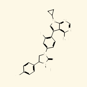 CN1C(=O)N(c2ccc(-c3cn(C4CC4)c4ncnc(N)c34)c(F)c2)CC1c1ccc(Cl)cc1